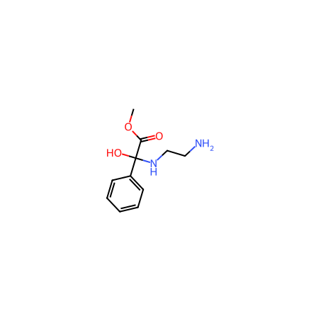 COC(=O)C(O)(NCCN)c1ccccc1